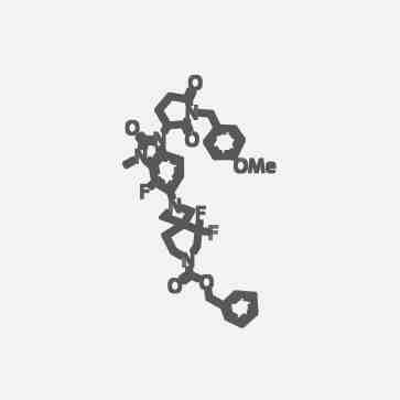 COc1ccc(CN2C(=O)CCC(n3c(=O)n(C)c4c(F)c(N5CC6(CCN(C(=O)OCc7ccccc7)CC6(F)F)C5)ccc43)C2=O)cc1